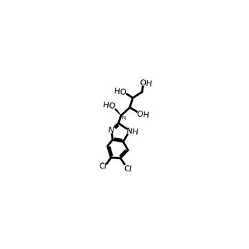 OCC(O)C(O)[C@H](O)c1nc2cc(Cl)c(Cl)cc2[nH]1